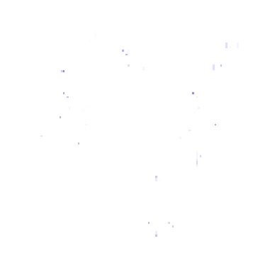 CN[C@H](C(=O)NC(C(=O)N(C)[C@H](/C=C(\C)C(=O)O)C(C)C)C(C)(C)C)C(C)(C)c1cccc(NC(=O)OCc2ccc(NC(=O)[C@H](CCCNC(N)=O)NC(=O)[C@@H](NC(=O)CCC(=O)N3Cc4ccccc4C(N)C(N=N)c4ccccc43)C(C)C)cc2)c1